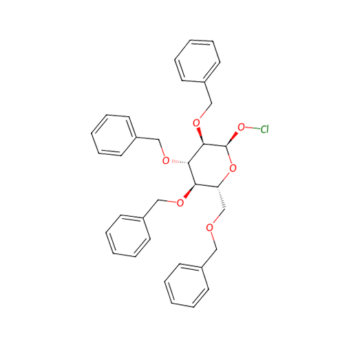 ClO[C@H]1O[C@H](COCc2ccccc2)[C@@H](OCc2ccccc2)[C@H](OCc2ccccc2)[C@H]1OCc1ccccc1